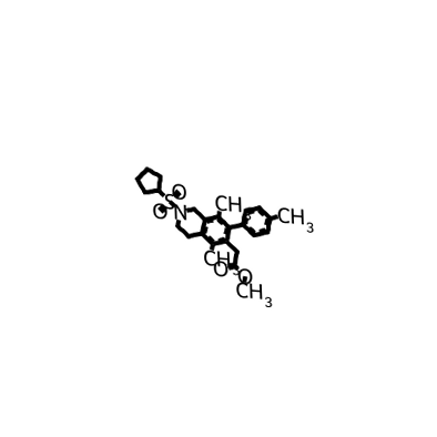 COC(=O)Cc1c(C)c2c(c(C)c1-c1ccc(C)cc1)CN(S(=O)(=O)C1CCCC1)CC2